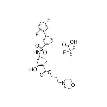 O=C(O)C(F)(F)F.O=C(OCCCN1CCOCC1)c1ccc(NS(=O)(=O)c2cccc(-c3cc(F)ccc3F)c2)cc1O